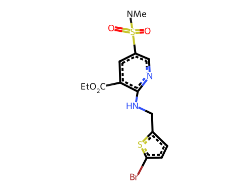 CCOC(=O)c1cc(S(=O)(=O)NC)cnc1NCc1ccc(Br)s1